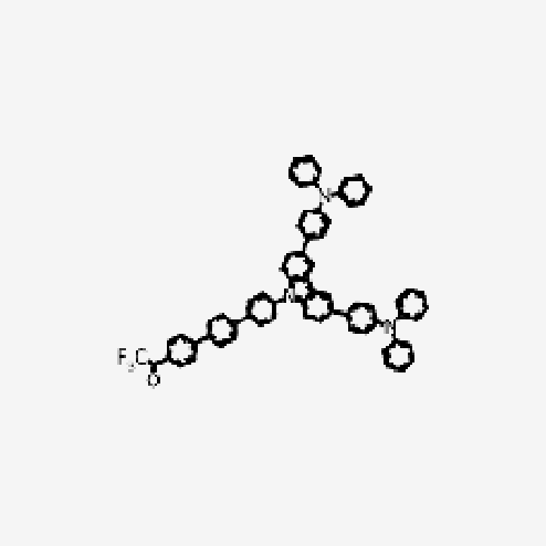 O=C(c1ccc(-c2ccc(-c3ccc(-n4c5ccc(-c6ccc(N(c7ccccc7)c7ccccc7)cc6)cc5c5cc(-c6ccc(N(c7ccccc7)c7ccccc7)cc6)ccc54)cc3)cc2)cc1)C(F)(F)F